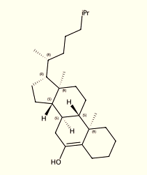 CC(C)CCC[C@@H](C)[C@H]1CC[C@H]2[C@@H]3CC(O)=C4CCCC[C@]4(C)[C@H]3CC[C@]12C